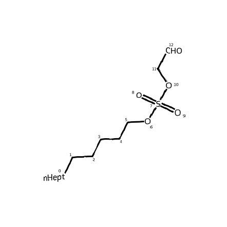 CCCCCCCCCCCCOS(=O)(=O)OCC=O